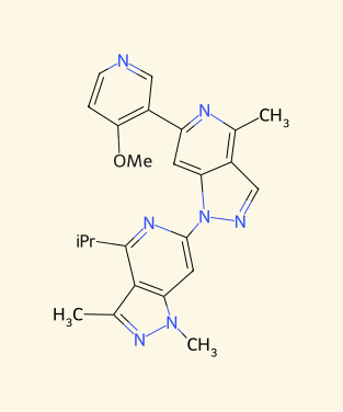 COc1ccncc1-c1cc2c(cnn2-c2cc3c(c(C)nn3C)c(C(C)C)n2)c(C)n1